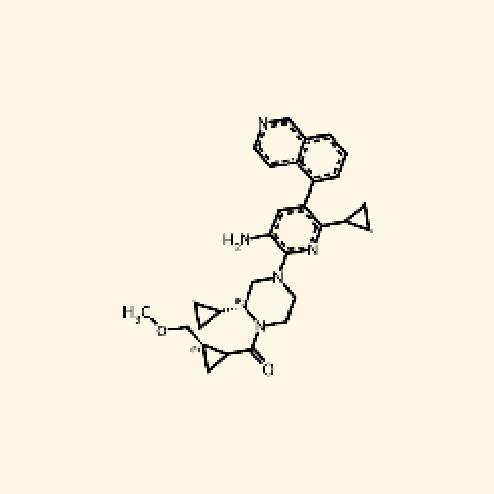 COC[C@@H]1CC1C(=O)N1CCN(c2nc(C3CC3)c(-c3cccc4cnccc34)cc2N)C[C@H]1C1CC1